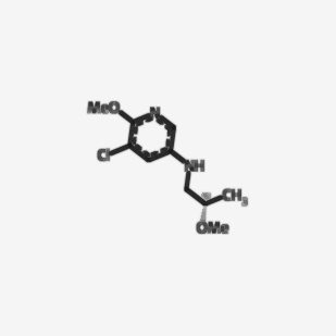 COc1ncc(NC[C@H](C)OC)cc1Cl